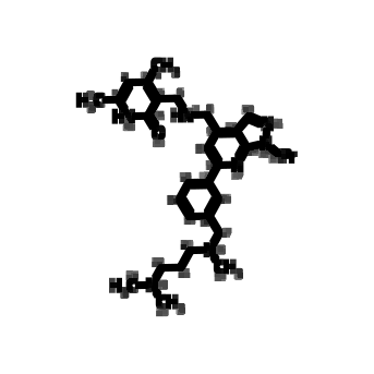 Cc1cc(C)c(CNCc2cc(-c3cccc(CN(C)CCCN(C)C)c3)nc3c2cnn3C(C)C)c(=O)[nH]1